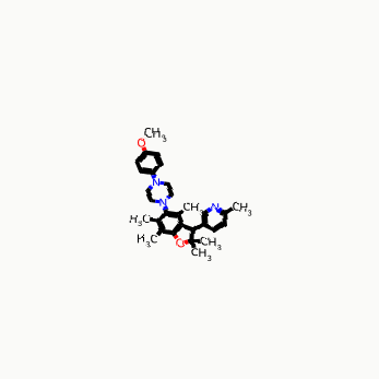 COc1ccc(N2CCN(c3c(C)c(C)c4c(c3C)C(c3ccc(C)nc3)C(C)(C)O4)CC2)cc1